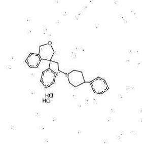 Cl.Cl.c1ccc(C2CCN(CCC3(c4ccccn4)COCc4ccccc43)CC2)cc1